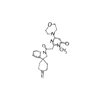 Cn1c(CC(=O)N2CC3(CCNCC3)c3ccccc32)nc(N2CCOCC2)cc1=O